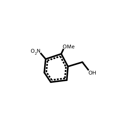 COc1c([CH]O)cccc1[N+](=O)[O-]